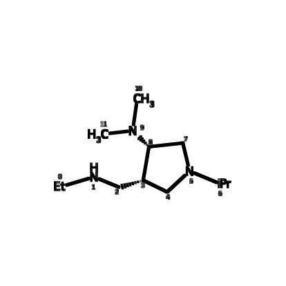 CCNC[C@H]1CN(C(C)C)C[C@H]1N(C)C